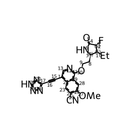 CC[C@@H]1[C@H](F)C(=O)N[C@@H]1CCOc1ncc(C#Cc2nn[nH]n2)c2cc(C#N)c(OC)cc12